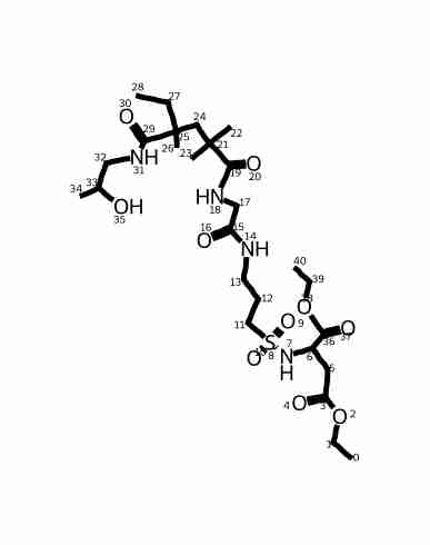 CCOC(=O)CC(NS(=O)(=O)CCCNC(=O)CNC(=O)C(C)(C)CC(C)(CC)C(=O)NCC(C)O)C(=O)OCC